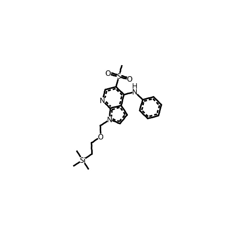 C[Si](C)(C)CCOCn1ccc2c(Nc3ccccc3)c(S(C)(=O)=O)cnc21